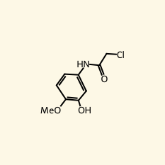 COc1ccc(NC(=O)CCl)cc1O